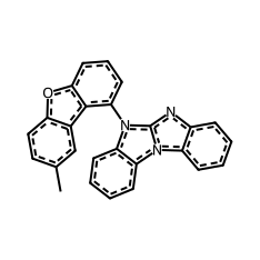 Cc1ccc2oc3cccc(-n4c5ccccc5n5c6ccccc6nc45)c3c2c1